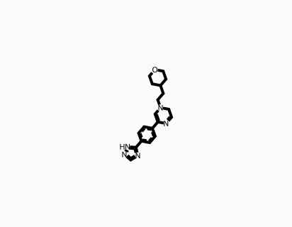 C1=NC(c2ccc(-c3ncn[nH]3)cc2)=CN(CCC2CCOCC2)C1